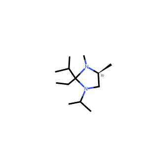 CCC1(C(C)C)N(C(C)C)C[C@H](C)N1C